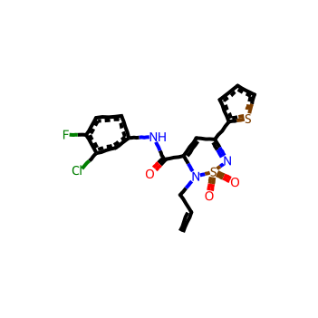 C=CCN1C(C(=O)Nc2ccc(F)c(Cl)c2)=CC(c2cccs2)=NS1(=O)=O